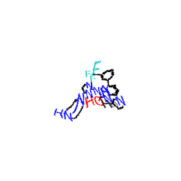 OC(Nc1nccc(N2CCNCC2)n1)N1c2nc(-c3cccc(C(F)(F)F)c3)ccc2N2CC[C@H]1C2